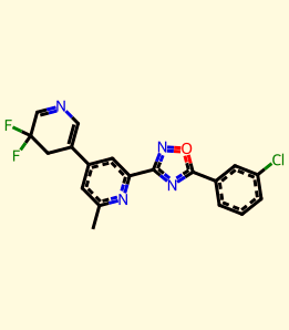 Cc1cc(C2=CN=CC(F)(F)C2)cc(-c2noc(-c3cccc(Cl)c3)n2)n1